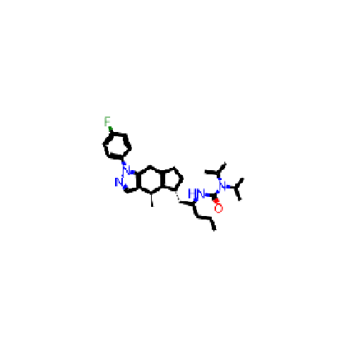 CCCC(C[C@H]1CCC2=C1[C@@H](C)c1cnn(-c3ccc(F)cc3)c1C2)NC(=O)N(C(C)C)C(C)C